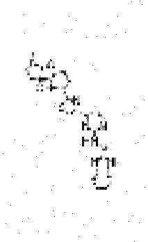 C[C@@H](Nc1nccc(-c2csc(-c3cccc([C@]4(O)CCN(C)C4=O)c3)n2)n1)c1nc2ccccc2[nH]1